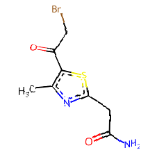 Cc1nc(CC(N)=O)sc1C(=O)CBr